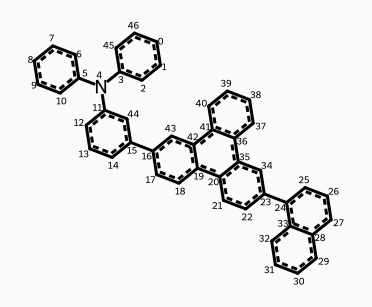 c1ccc(N(c2ccccc2)c2cccc(-c3ccc4c5ccc(-c6cccc7ccccc67)cc5c5ccccc5c4c3)c2)cc1